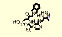 CCC(C(=O)NC(CC(=O)O)C(=O)CN1Cc2ccccc2C1)n1ccnc(NCC(=N)/C(C)=N\O)c1=O